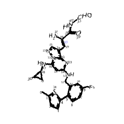 Cc1ccc(-c2ccc(F)cc2CNc2cc(NC3CC3)n3ncc(/C=C(\N)C(=O)NC=O)c3n2)s1